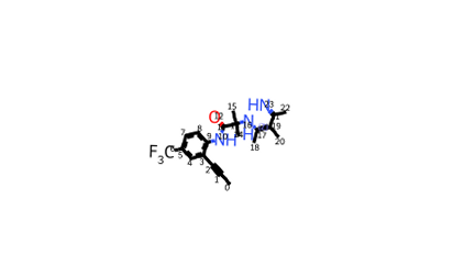 CC#Cc1cc(C(F)(F)F)ccc1NC(=O)C(C)(C)N/C(C)=C(/C)C(C)=N